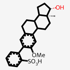 COc1cc2c(cc1-c1ccccc1S(=O)(=O)O)CCC1C2CC[C@@]2(C)C1CC[C@@H]2O